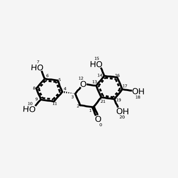 O=C1C[C@H](c2cc(O)cc(O)c2)Oc2c(O)cc(O)c(O)c21